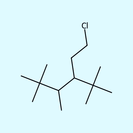 CC(C(CCCl)C(C)(C)C)C(C)(C)C